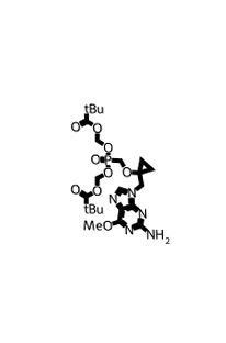 COc1nc(N)nc2c1ncn2CC1(OCP(=O)(OCOC(=O)C(C)(C)C)OCOC(=O)C(C)(C)C)CC1